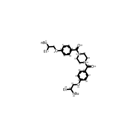 CCCCC(CC)COc1ccc(C(=O)N2CCN(C(=O)c3ccc(OCC(CC)CCCC)cc3)CC2)cc1